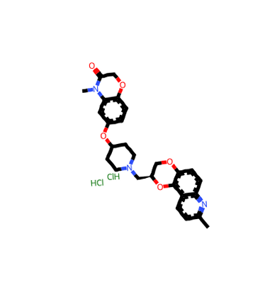 Cc1ccc2c3c(ccc2n1)OC[C@H](CN1CCC(Oc2ccc4c(c2)N(C)C(=O)CO4)CC1)O3.Cl.Cl